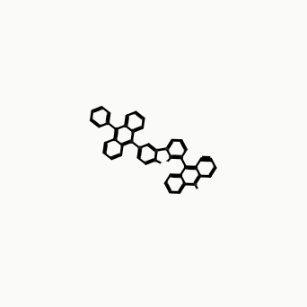 FC(F)(F)c1c2ccc#cc2c(-c2cccc3c2sc2ccc(-c4c5ccccc5c(-c5ccccc5)c5ccccc45)cc23)c2ccccc12